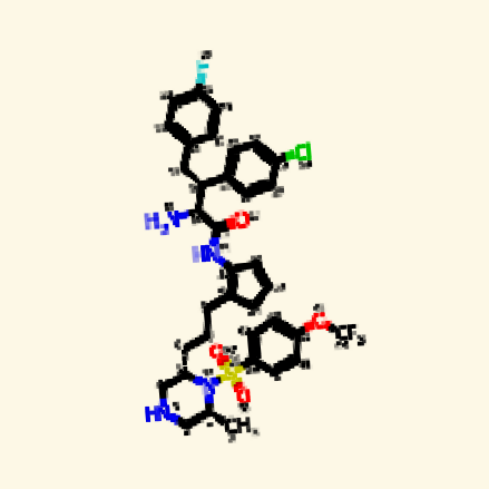 C[C@H]1CNC[C@H](CCCC2=C(NC(=O)[C@@H](N)[C@@H](Cc3ccc(F)cc3)c3ccc(Cl)cc3)C=CC2)N1S(=O)(=O)c1ccc(OC(F)(F)F)cc1